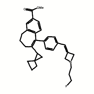 COC(=O)c1ccc2c(c1)CCCC(C1CC13CCC3)=C2c1ccc(C=C2CN(CCCF)C2)cc1